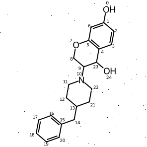 Oc1ccc2c(c1)OCC(N1CCC(Cc3ccccc3)CC1)C2O